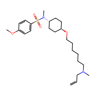 C=CCN(C)CCCCCCO[C@H]1CC[C@H](N(C)S(=O)(=O)c2ccc(OC)cc2)CC1